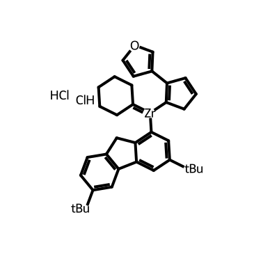 CC(C)(C)c1ccc2c(c1)-c1cc(C(C)(C)C)c[c]([Zr]([C]3=C(c4ccoc4)C=CC3)=[C]3CCCCC3)c1C2.Cl.Cl